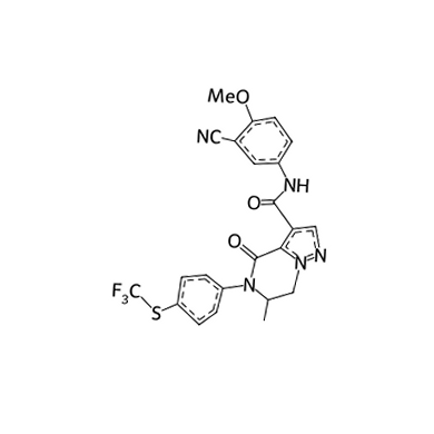 COc1ccc(NC(=O)c2cnn3c2C(=O)N(c2ccc(SC(F)(F)F)cc2)C(C)C3)cc1C#N